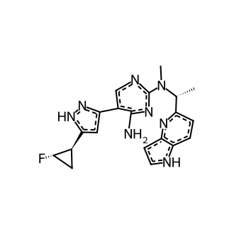 C[C@H](c1ccc2[nH]ccc2n1)N(C)c1ncc(-c2cc([C@H]3C[C@@H]3F)[nH]n2)c(N)n1